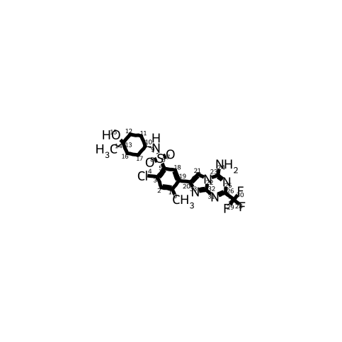 Cc1cc(Cl)c(S(=O)(=O)N[C@H]2CC[C@](C)(O)CC2)cc1-c1cn2c(N)nc(C(F)(F)F)nc2n1